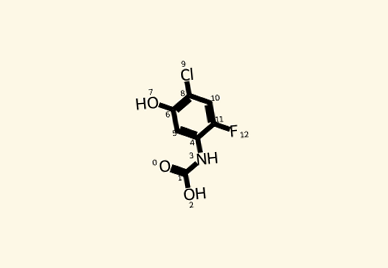 O=C(O)Nc1cc(O)c(Cl)cc1F